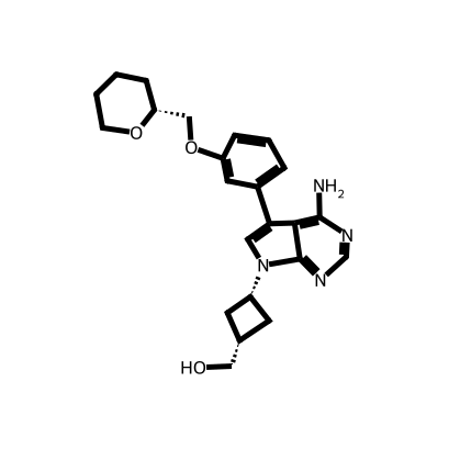 Nc1ncnc2c1c(-c1cccc(OC[C@H]3CCCCO3)c1)cn2[C@H]1C[C@@H](CO)C1